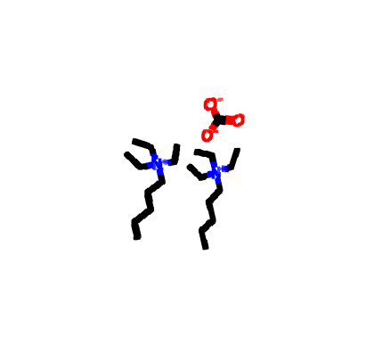 CCCCC[N+](CC)(CC)CC.CCCCC[N+](CC)(CC)CC.O=C([O-])[O-]